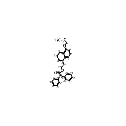 O=C(O)COc1cccc2c1CCCC2CCOC(=O)N(c1ccccc1)c1ccccc1